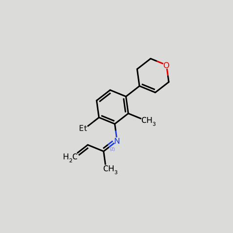 C=C/C(C)=N\c1c(CC)ccc(C2=CCOCC2)c1C